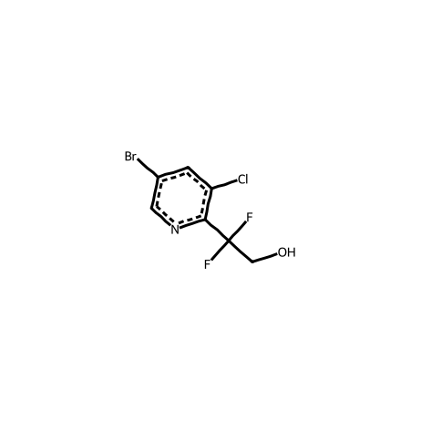 OCC(F)(F)c1ncc(Br)cc1Cl